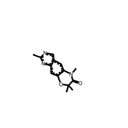 Cc1ncc2cc3c(cc2n1)OC(C)(C)C(=O)N3C